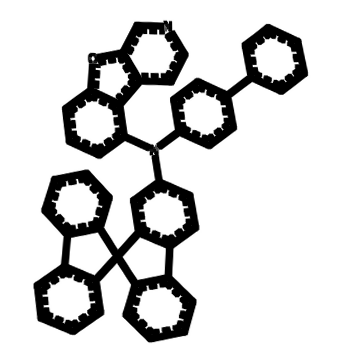 c1ccc(-c2ccc(N(c3ccc4c(c3)C3(c5ccccc5-c5ccccc53)c3ccccc3-4)c3cccc4oc5cnccc5c34)cc2)cc1